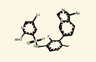 COc1ncc(Cl)cc1S(=O)(=O)Nc1ccc(F)c(-c2ccc3c(C(C)=O)ncn3c2)c1F